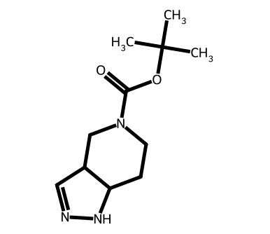 CC(C)(C)OC(=O)N1CCC2NN=CC2C1